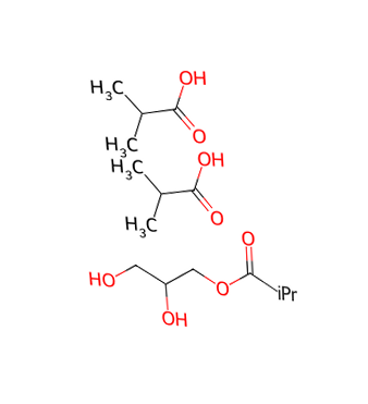 CC(C)C(=O)O.CC(C)C(=O)O.CC(C)C(=O)OCC(O)CO